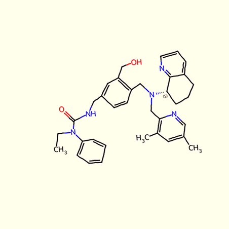 CCN(C(=O)NCc1ccc(CN(Cc2ncc(C)cc2C)[C@H]2CCCc3cccnc32)c(CO)c1)c1ccccc1